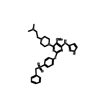 COc1c(Nc2cc[nH]n2)nc(Sc2ccc(S(=O)(=O)Cc3ccccc3)cc2)nc1N1CCN(CCN(C)C)CC1